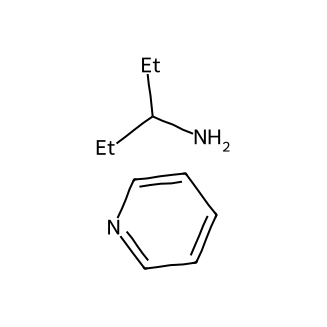 CCC(N)CC.c1ccncc1